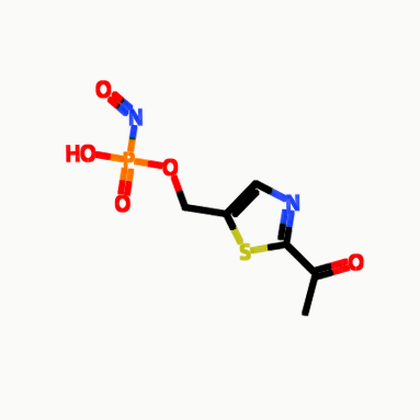 CC(=O)c1ncc(COP(=O)(O)N=O)s1